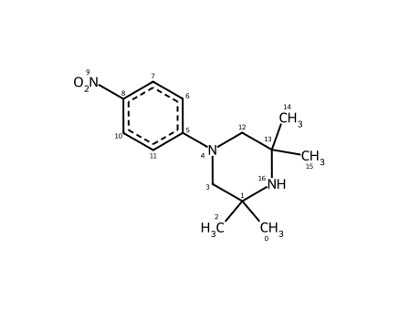 CC1(C)CN(c2ccc([N+](=O)[O-])cc2)CC(C)(C)N1